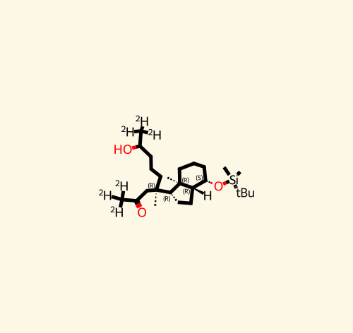 [2H]C([2H])([2H])C(=O)C[C@@](C)(CCCC(O)C([2H])([2H])[2H])[C@H]1CC[C@H]2[C@@H](O[Si](C)(C)C(C)(C)C)CCC[C@]12C